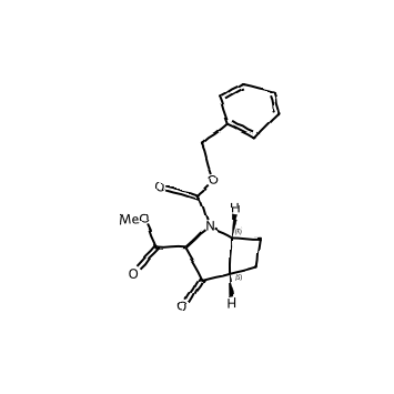 COC(=O)C1C(=O)[C@H]2CC[C@H]2N1C(=O)OCc1ccccc1